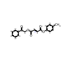 Cc1ccc(OC(=O)/C=C/C(=O)OCC(=O)c2ccccc2)cc1